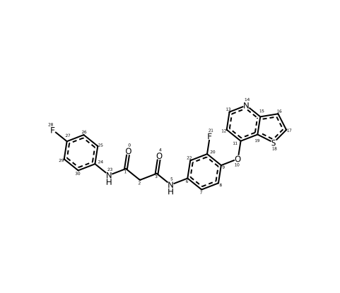 O=C(CC(=O)Nc1ccc(Oc2ccnc3ccsc23)c(F)c1)Nc1ccc(F)cc1